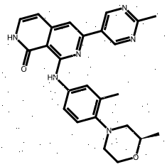 Cc1ncc(-c2cc3cc[nH]c(=O)c3c(Nc3ccc(N4CCO[C@H](C)C4)c(C)c3)n2)cn1